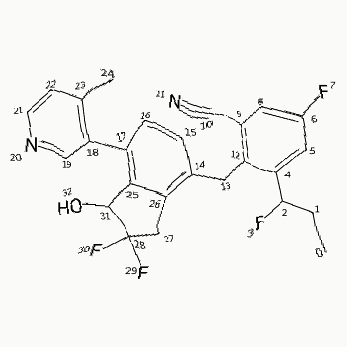 CCC(F)c1cc(F)cc(C#N)c1Cc1ccc(-c2cnccc2C)c2c1CC(F)(F)C2O